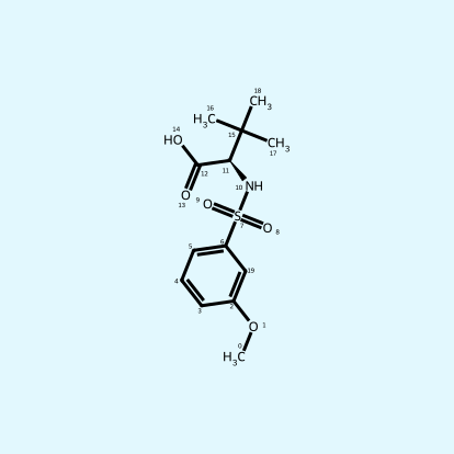 COc1cccc(S(=O)(=O)N[C@@H](C(=O)O)C(C)(C)C)c1